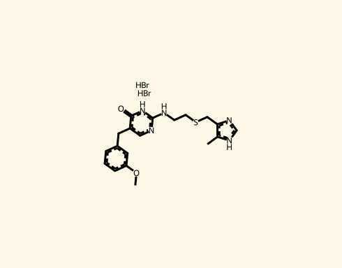 Br.Br.COc1cccc(Cc2cnc(NCCSCc3nc[nH]c3C)[nH]c2=O)c1